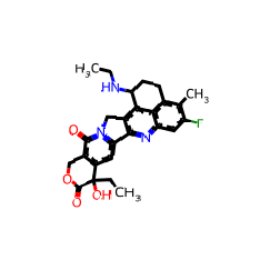 CCNC1CCc2c(C)c(F)cc3nc4c(c1c23)Cn1c-4cc2c(c1=O)COC(=O)C2(O)CC